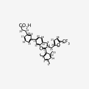 Cc1cc(C)c(C(=O)N(Cc2ccc(-c3cccc(CCC(=O)O)c3)cc2)Cc2ccc(C(F)(F)F)o2)c(C)c1